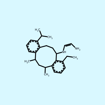 CCc1cccc2c1C(N/C=C\N)CCc1c(C(C)C)cccc1C(C)CC2C